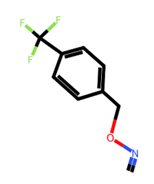 [CH]=NOCc1ccc(C(F)(F)F)cc1